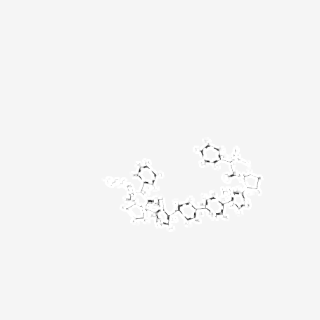 CN(C)C(C(=O)N1CCC[C@H]1c1ncc(-c2ccc(-c3ccc(-c4cnc([N+]5(C(=O)[C@@H](c6ccccc6)N(C)C(=O)[O-])CCCC5)[nH]4)cc3)nc2)[nH]1)c1ccccc1